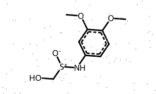 COc1ccc(N[S+]([O-])CO)cc1OC